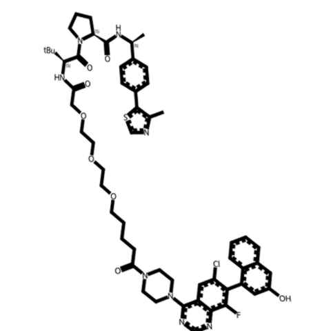 Cc1ncsc1-c1ccc([C@H](C)NC(=O)[C@@H]2CCCN2C(=O)[C@@H](NC(=O)COCCOCCOCCCCC(=O)N2CCN(c3ncnc4c(F)c(-c5cc(O)cc6ccccc56)c(Cl)cc34)CC2)C(C)(C)C)cc1